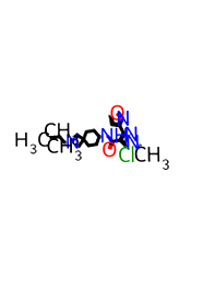 CCn1nc(-c2ccon2)c(C(=O)NC2CCC3(CC2)CN(CCC(C)(C)C)C3)c1Cl